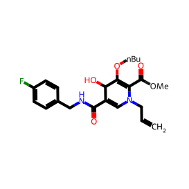 C=CCN1C=C(C(=O)NCc2ccc(F)cc2)C(O)C(OCCCC)=C1C(=O)OC